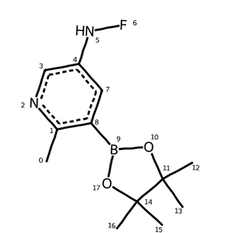 Cc1ncc(NF)cc1B1OC(C)(C)C(C)(C)O1